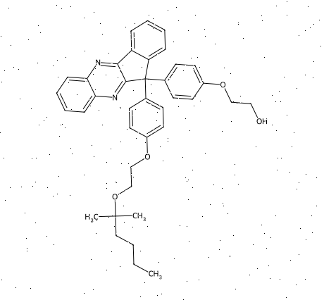 CCCCC(C)(C)OCCOc1ccc(C2(c3ccc(OCCO)cc3)c3ccccc3-c3nc4ccccc4nc32)cc1